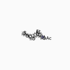 CCn1c2ccc(C(=O)c3ccc(OCC4CCCS4)cc3C)cc2c2cc(/C(C)=N/OC(C)=O)ccc21